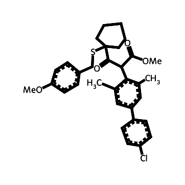 COC(=O)C(C(=O)C1(SCc2ccc(OC)cc2)CCCCC1)c1c(C)cc(-c2ccc(Cl)cc2)cc1C